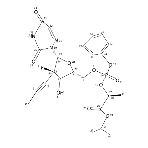 CC#C[C@@]1(F)C(O)[C@@H](COP(=O)(Oc2ccccc2)O[C@@H](C)C(=O)OC(C)C)O[C@H]1n1ncc(=O)[nH]c1=O